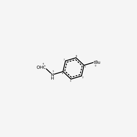 CC(C)(C)c1ccc(NC=O)cc1